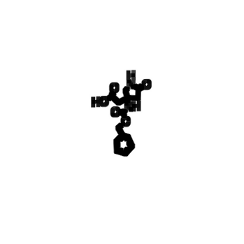 O=C(O)CC1(NC(=O)OCc2ccccc2)CNC(=O)C1